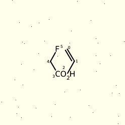 C=CC.O=C(O)CF